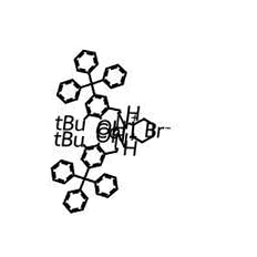 CC(C)(C)c1cc(C(c2ccccc2)(c2ccccc2)c2ccccc2)cc(C=[N+]2[Co][N+](=Cc3cc(C(c4ccccc4)(c4ccccc4)c4ccccc4)cc(C(C)(C)C)c3O)[C@@H]3CCCC[C@H]32)c1O.[Br-]